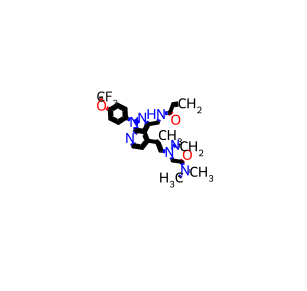 C=CC(=O)NCc1nn(-c2ccc(OC(F)(F)F)cc2)c2nccc(/C(C)=C/N(CC(=O)N(C)C)N=C)c12